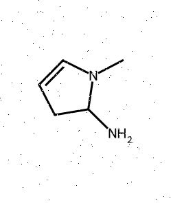 CN1C=CCC1N